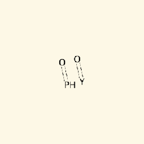 O=P.[O]=[Y]